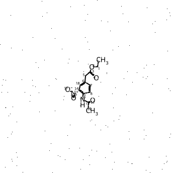 CCOC(=O)Cc1ccc(NC(C)=O)c([N+](=O)[O-])c1